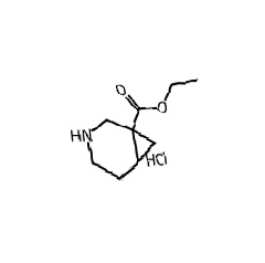 CCOC(=O)C12CNCCC1C2.Cl